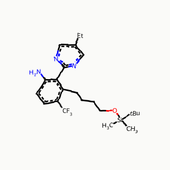 CCc1cnc(-c2c(N)ccc(C(F)(F)F)c2CCCCO[Si](C)(C)C(C)(C)C)nc1